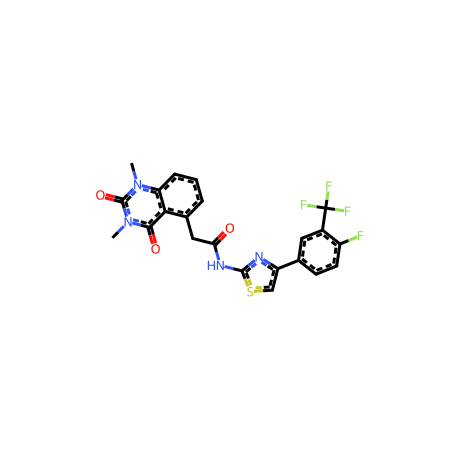 Cn1c(=O)c2c(CC(=O)Nc3nc(-c4ccc(F)c(C(F)(F)F)c4)cs3)cccc2n(C)c1=O